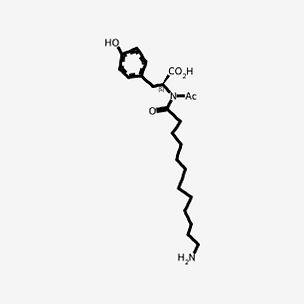 CC(=O)N(C(=O)CCCCCCCCCCCN)[C@@H](Cc1ccc(O)cc1)C(=O)O